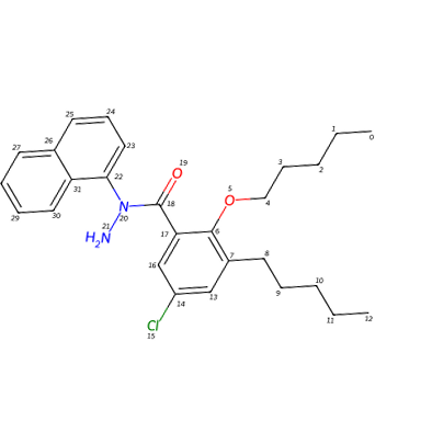 CCCCCOc1c(CCCCC)cc(Cl)cc1C(=O)N(N)c1cccc2ccccc12